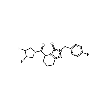 O=C(C1CCCc2nn(Cc3ccc(F)cc3)c(=O)n21)N1CC(F)C(F)C1